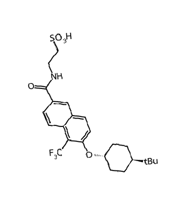 CC(C)(C)[C@H]1CC[C@H](Oc2ccc3cc(C(=O)NCCS(=O)(=O)O)ccc3c2C(F)(F)F)CC1